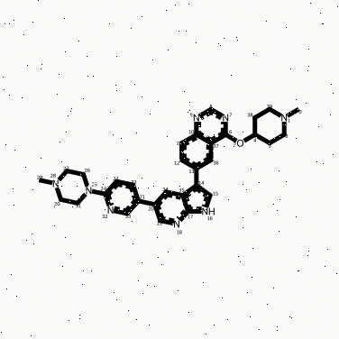 CN1CCC(Oc2ncnc3ccc(-c4c[nH]c5ncc(-c6ccc(N7CCN(C)CC7)nc6)cc45)cc23)CC1